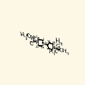 CNC(=O)N1CCN(C2CCN(C(C)(C)C)CC2)CC1